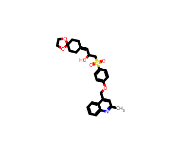 Cc1cc(COc2ccc(S(=O)(=O)CC(O)C=C3CCC4(CC3)OCCO4)cc2)c2ccccc2n1